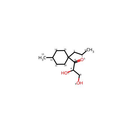 CCCC1(C(=O)C(O)CO)CCC(C)CC1